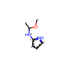 COC(C)Nc1ccc[nH]1